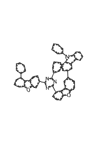 c1ccc(-c2nc(-c3ccc4c(c3)oc3cccc(-c5ccccc5)c34)nc(-c3cccc4oc5ccc(-c6ccc7c(c6)c6ccccc6n7-c6ccccc6)cc5c34)n2)cc1